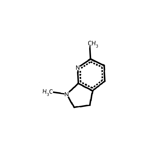 Cc1ccc2c(n1)N(C)CC2